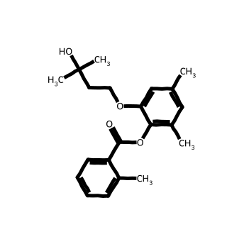 Cc1cc(C)c(OC(=O)c2ccccc2C)c(OCCC(C)(C)O)c1